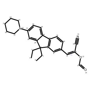 CCC1(CC)c2cc(/C=C(\C#N)OC=O)ccc2-c2ccc(N3CCCCC3)cc21